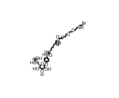 O=C(NCCCCc1cn(C(=O)COCCOCCOCCNCCBr)nn1)Nc1ccc(O[C@H]2O[C@H](CCP(=O)(O)O)[C@@H](O)[C@H](O)[C@@H]2O)cc1